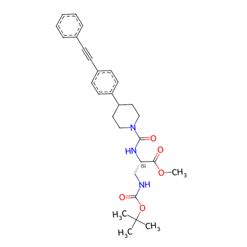 COC(=O)[C@H](CNC(=O)OC(C)(C)C)NC(=O)N1CCC(c2ccc(C#Cc3ccccc3)cc2)CC1